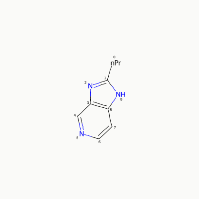 CCCc1nc2cnccc2[nH]1